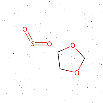 C1COCO1.O=S=O